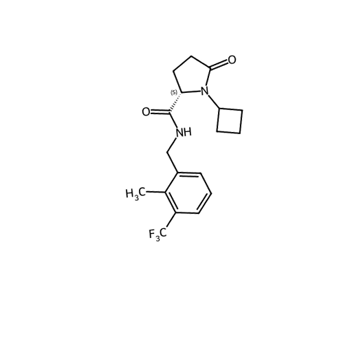 Cc1c(CNC(=O)[C@@H]2CCC(=O)N2C2CCC2)cccc1C(F)(F)F